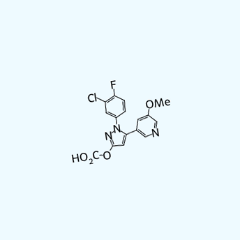 COc1cncc(-c2cc(OC(=O)O)nn2-c2ccc(F)c(Cl)c2)c1